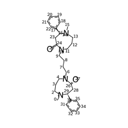 CN1CCCN(CCCCN2CCCN(C)[C@H](c3ccccc3)CC2=O)C(=O)C[C@H]1c1ccccc1